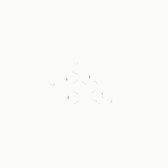 COc1cc(OC)c(F)c(N2C(=O)Nc3c(cnc(N)c3C)C2c2ccccc2F)c1F